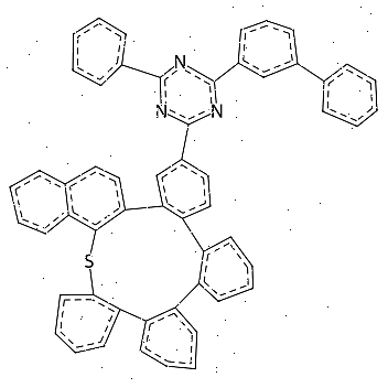 c1ccc(-c2cccc(-c3nc(-c4ccccc4)nc(-c4ccc5c(c4)-c4ccc6ccccc6c4Sc4ccccc4-c4ccccc4-c4ccccc4-5)n3)c2)cc1